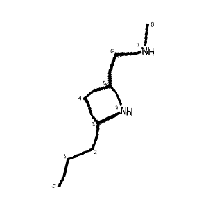 CCCC1CC(CNC)N1